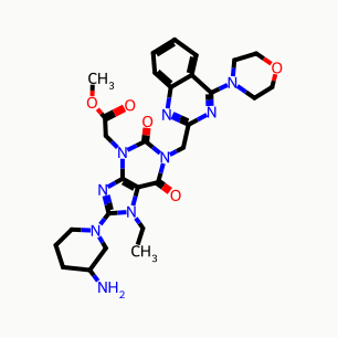 CCn1c(N2CCCC(N)C2)nc2c1c(=O)n(Cc1nc(N3CCOCC3)c3ccccc3n1)c(=O)n2CC(=O)OC